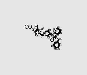 Cn1c(C(=O)O)cnc1CN1CCC(n2c(=O)n(Cc3ccccc3)c3cccnc32)C1